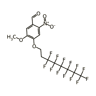 COc1cc(C=O)c([N+](=O)[O-])cc1OCCC(F)(F)C(F)(F)C(F)(F)C(F)(F)C(F)(F)C(F)(F)F